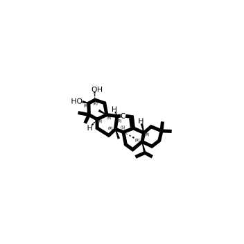 CC(C)[C@]12CCC(C)(C)C[C@H]1C1=CC[C@@H]3[C@@]4(C)C[C@@H](O)[C@H](O)C(C)(C)[C@@H]4CC[C@@]3(C)[C@]1(C)CC2